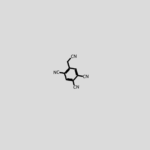 N#CCc1cc(C#N)c(C#N)cc1C#N